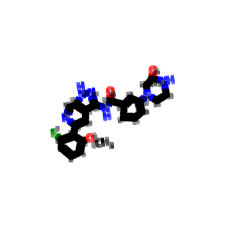 COc1cccc(F)c1-c1cc2c(NC(=O)c3cccc(N4CCNC(=O)C4)c3)n[nH]c2cn1